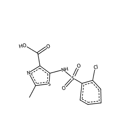 Cc1nc(C(=O)O)c(NS(=O)(=O)c2ccccc2Cl)s1